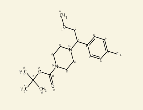 COCC(c1ccc(F)cc1)N1CCN(C(=O)OC(C)(C)C)CC1